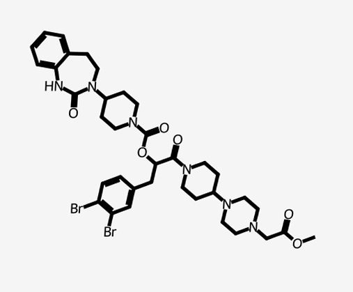 COC(=O)CN1CCN(C2CCN(C(=O)C(Cc3ccc(Br)c(Br)c3)OC(=O)N3CCC(N4CCc5ccccc5NC4=O)CC3)CC2)CC1